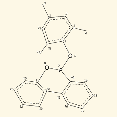 Cc1cc(C)c(OP2Oc3ccccc3-c3ccccc32)c(C)c1